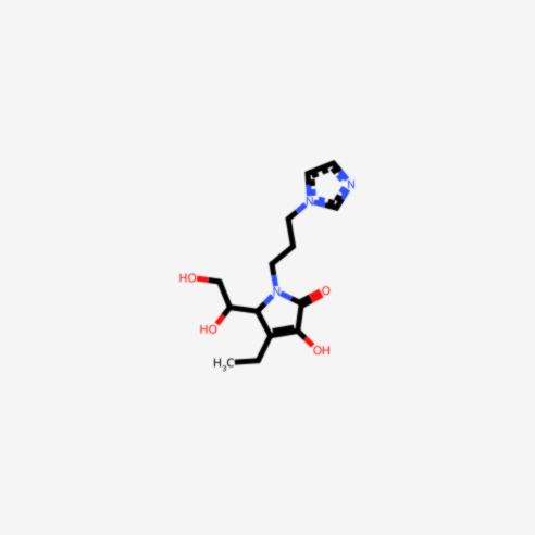 CCC1=C(O)C(=O)N(CCCn2ccnc2)C1C(O)CO